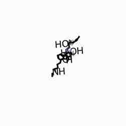 CC#CC[C@H](C)[C@H](O)/C=C/[C@@H]1[C@H]2c3cccc(CCCCNCC)c3O[C@H]2C[C@H]1O